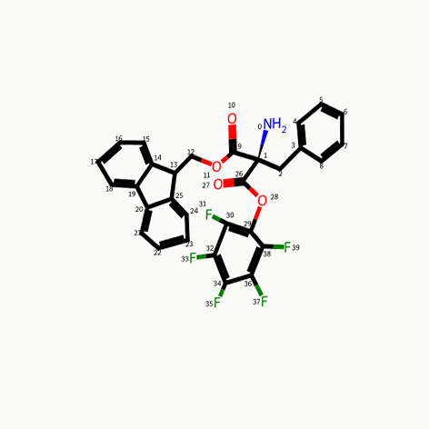 N[C@](Cc1ccccc1)(C(=O)OCC1c2ccccc2-c2ccccc21)C(=O)Oc1c(F)c(F)c(F)c(F)c1F